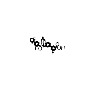 CCCOc1ccc(-c2cc(F)cc(C(=O)O)c2)cc1CNC(=O)c1ccc(C(F)(F)F)cc1F